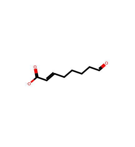 [O]C(=O)C=CCCCCC=O